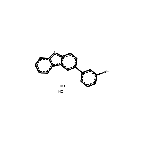 [B+2]c1cccc(-c2ccc3sc4ccccc4c3c2)c1.[OH-].[OH-]